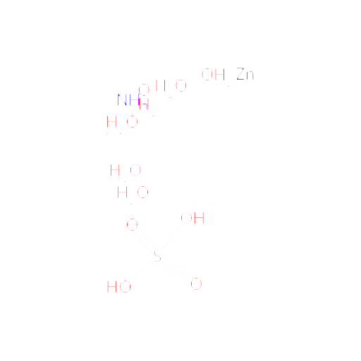 N.O.O.O.O.O.O.O=S(=O)(O)O.[Zn]